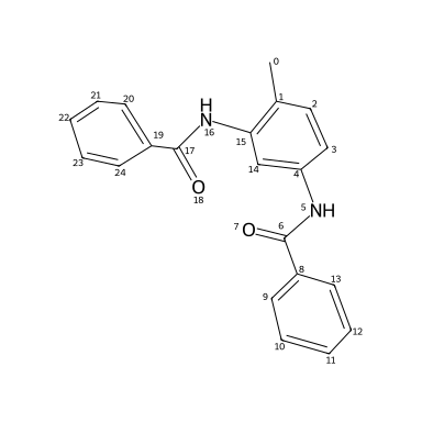 Cc1ccc(NC(=O)c2ccccc2)cc1NC(=O)c1ccccc1